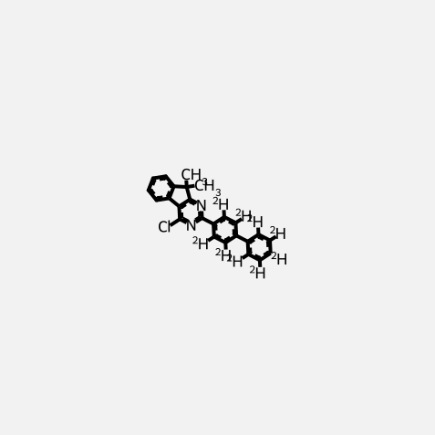 [2H]c1c([2H])c([2H])c(-c2c([2H])c([2H])c(-c3nc(Cl)c4c(n3)C(C)(C)c3ccccc3-4)c([2H])c2[2H])c([2H])c1[2H]